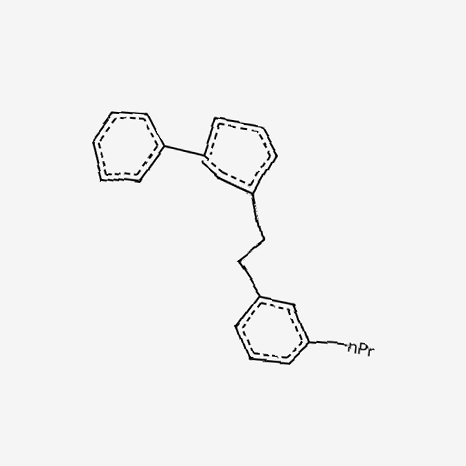 CCCc1cccc(CCc2cccc(-c3ccccc3)c2)c1